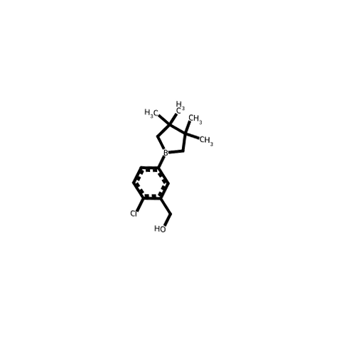 CC1(C)CB(c2ccc(Cl)c(CO)c2)CC1(C)C